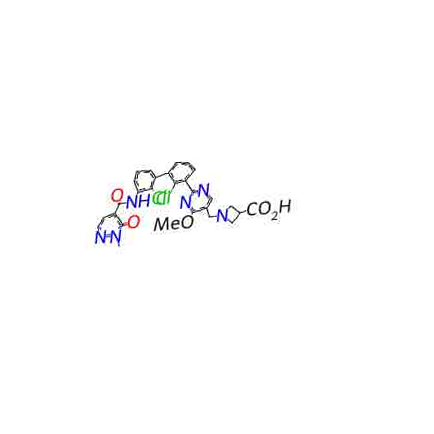 COc1nc(-c2cccc(-c3cccc(NC(=O)c4ccnn(C)c4=O)c3Cl)c2Cl)ncc1CN1CC(C(=O)O)C1